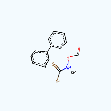 O=CONC(=S)S.[KH].c1ccc(-c2ccccc2)cc1